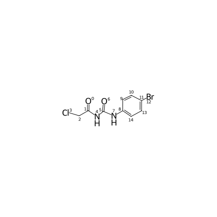 O=C(CCl)NC(=O)Nc1ccc(Br)cc1